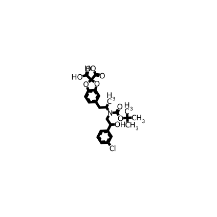 CC(Cc1ccc2c(c1)OC(C(=O)O)(C(=O)O)O2)N(CC(O)c1cccc(Cl)c1)C(=O)OC(C)(C)C